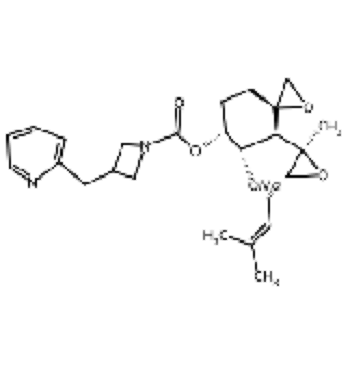 CO[C@@H]1[C@H](OC(=O)N2CC(Cc3ccccn3)C2)CC[C@]2(CO2)[C@H]1[C@@]1(C)O[C@@H]1CC=C(C)C